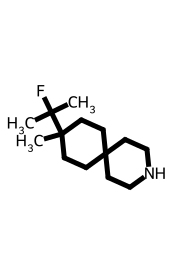 CC(C)(F)C1(C)CCC2(CCNCC2)CC1